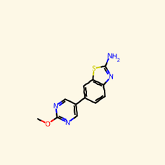 COc1ncc(-c2ccc3nc(N)sc3c2)cn1